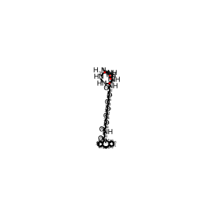 NC12CNCCNCC(NC(=O)CCOCCOCCOCCOCCOCCC(=O)NCCC(=O)N3Cc4ccccc4C#Cc4ccccc43)(CNCCNC1)CNCCNC2